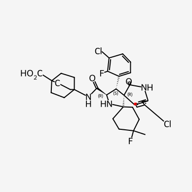 CC1(F)CCC2(CC1)N[C@@H](C(=O)NC13CCC(C(=O)O)(CC1)CC3)[C@H](c1cccc(Cl)c1F)[C@]21C(=O)Nc2cc(Cl)ccc21